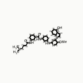 COc1cnc(Nc2cccc(NC(=O)c3cccc(NC(=O)/C=C/CN(C)C)c3)c2)nc1-n1ccc2c(O)cccc21